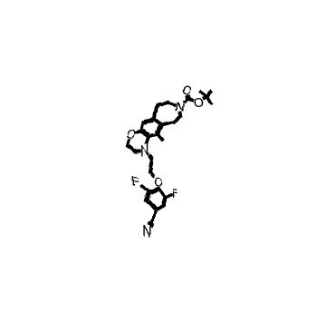 Cc1c2c(cc3c1N(CCOc1c(F)cc(C#N)cc1F)CCO3)CCN(C(=O)OC(C)(C)C)CC2